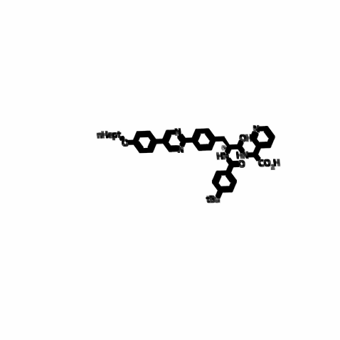 CCCCCCCOc1ccc(-c2cnc(-c3ccc(C[C@H](NC(=O)c4ccc(C(C)(C)C)cc4)C(O)NC(C(=O)O)c4cccnc4)cc3)nc2)cc1